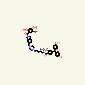 CC(C)c1cc(C(=O)N2Cc3ccc(CN4CCN(CCCCCNC(=O)c5ccc(-c6c7ccc(=O)cc-7oc7cc(O)ccc67)cc5C(=O)O)CC4)cc3C2)c(O)cc1O